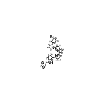 CS(=O)(=O)CCNc1nccc(-c2cccc(C3CN=C4C=CC(N5CCC[C@@H]5c5cccc(F)c5)=NN43)n2)n1